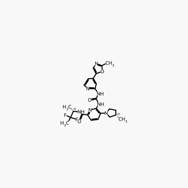 Cc1ncc(-c2ccnc(NC(=O)Nc3nc(C(=O)N[C@@H](C)C(C)(F)F)ccc3N3CC[C@H](C)C3)c2)o1